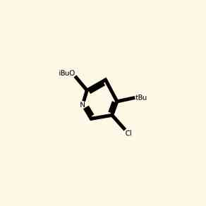 CC(C)COc1cc(C(C)(C)C)c(Cl)cn1